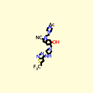 CC(=O)N1CCN(CCn2c(C#N)cc3cc(CN4CCC(Nc5ncnc6sc(CC(F)(F)F)cc56)CC4)c(O)cc32)CC1